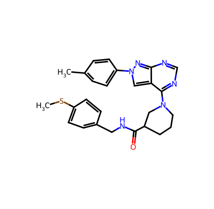 CSc1ccc(CNC(=O)C2CCCN(c3ncnc4nn(-c5ccc(C)cc5)cc34)C2)cc1